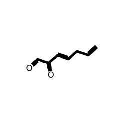 C=CCC=CC(=O)C=O